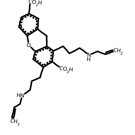 C=CCNCCCc1cc2c(c(CCCNCC=C)c1C(=O)O)Cc1cc(C(=O)O)ccc1O2